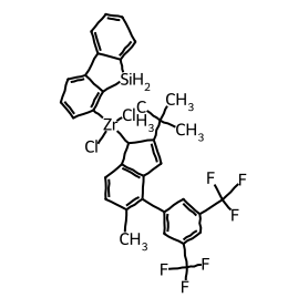 Cc1ccc2c(c1-c1cc(C(F)(F)F)cc(C(F)(F)F)c1)C=C(C(C)(C)C)[CH]2[Zr]([Cl])([Cl])[c]1cccc2c1[SiH2]c1ccccc1-2